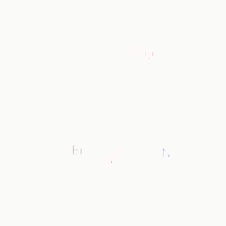 CN(C)C(=O)Sc1c(Br)cccc1C=O